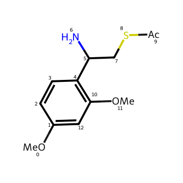 COc1ccc(C(N)CSC(C)=O)c(OC)c1